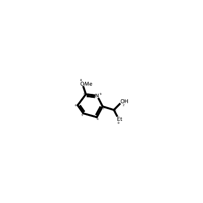 CCC(O)c1cccc(OC)n1